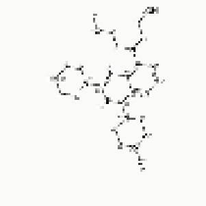 COCCN(CCO)c1ncnc2c(N3CC[S+]([O-])CC3)nc(N3CCNCC3)nc12